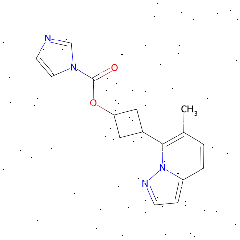 Cc1ccc2ccnn2c1C1CC(OC(=O)n2ccnc2)C1